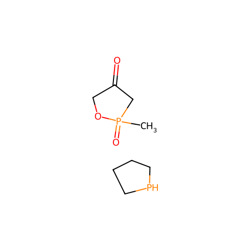 C1CCPC1.CP1(=O)CC(=O)CO1